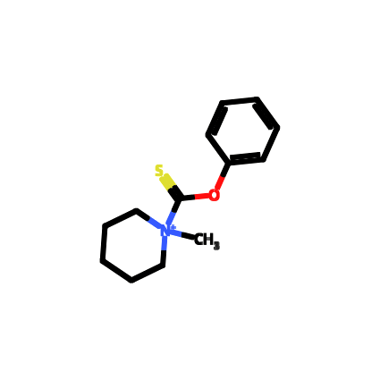 C[N+]1(C(=S)Oc2ccccc2)CCCCC1